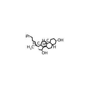 CC(C)CCC[C@@H](C)[C@H]1C[C@H](O)C2=C3CC[C@H]4C[C@@H](O)CC[C@]4(C)[C@H]3CC[C@@]21C